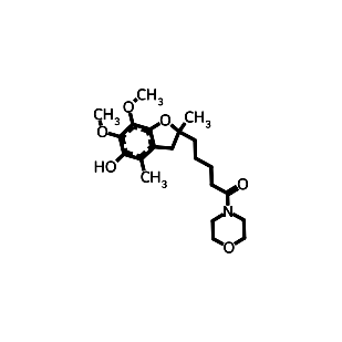 COc1c(O)c(C)c2c(c1OC)OC(C)(CCCCC(=O)N1CCOCC1)C2